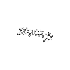 Cn1ccc2c(F)cc(-c3ccc4cnc(CNC(=O)c5ccc6c(c5)[C@](C)(C#N)COC6)cc4n3)cc2c1=O